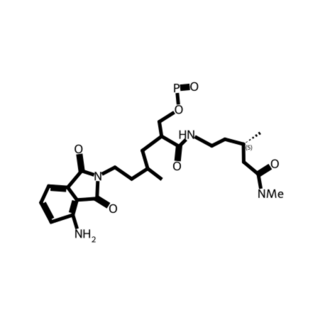 CNC(=O)C[C@@H](C)CCNC(=O)C(COP=O)CC(C)CCN1C(=O)c2cccc(N)c2C1=O